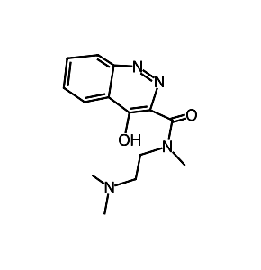 CN(C)CCN(C)C(=O)c1nnc2ccccc2c1O